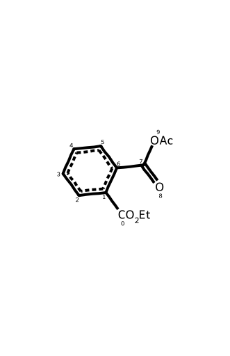 CCOC(=O)c1ccccc1C(=O)OC(C)=O